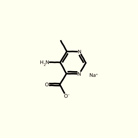 Cc1ncnc(C(=O)[O-])c1N.[Na+]